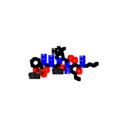 C=CCCNC(=O)C(=O)C(CCC=C)NC(=O)[C@@H]1C2[C@H](CN1C(=O)[C@@H](NC(=O)NC1(CS(=O)(=O)C(C)(C)C)CCCCC1)C(C)(C)C)C2(C)C